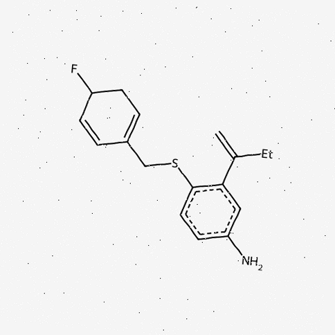 C=C(CC)c1cc(N)ccc1SCC1=CCC(F)C=C1